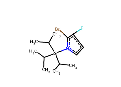 CC(C)[Si](C(C)C)(C(C)C)n1ccc(F)c1Br